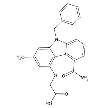 Cc1cc(OCC(=O)O)c2c3c(C(N)=O)cccc3n(Cc3ccccc3)c2c1